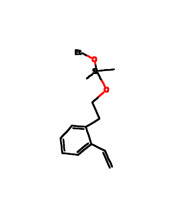 C=Cc1ccccc1CCO[Si](C)(C)OCC